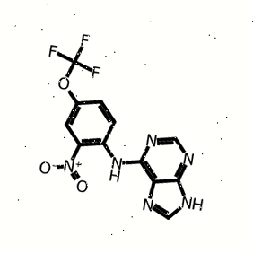 O=[N+]([O-])c1cc(OC(F)(F)F)ccc1Nc1ncnc2[nH]cnc12